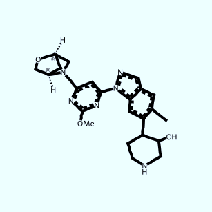 COc1nc(N2C[C@H]3C[C@@H]2CO3)cc(-n2ncc3cc(C)c(C4CCNCC4O)cc32)n1